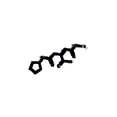 CNC(=O)/C=C(/CC(=O)NC1CCCC1)C(=O)O